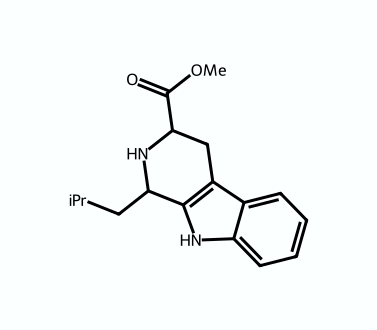 COC(=O)C1Cc2c([nH]c3ccccc23)C(CC(C)C)N1